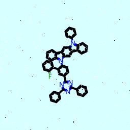 Fc1ccccc1-c1cc(-c2nc(-c3ccccc3)nc(-c3ccccc3)n2)ccc1-n1c2ccccc2c2cc3c(cc21)c1ccccc1n3-c1ccccc1